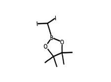 CC1(C)OB(C(I)I)OC1(C)C